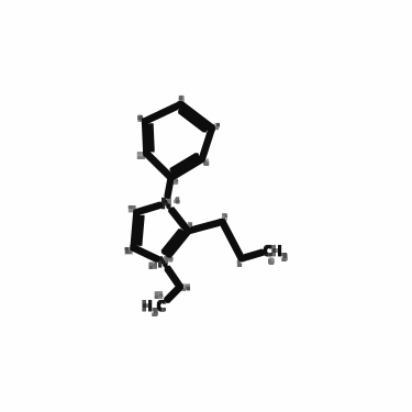 CCCc1n(-c2ccccc2)cc[n+]1CC